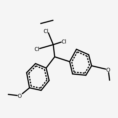 CC.COc1ccc(C(c2ccc(OC)cc2)C(Cl)(Cl)Cl)cc1